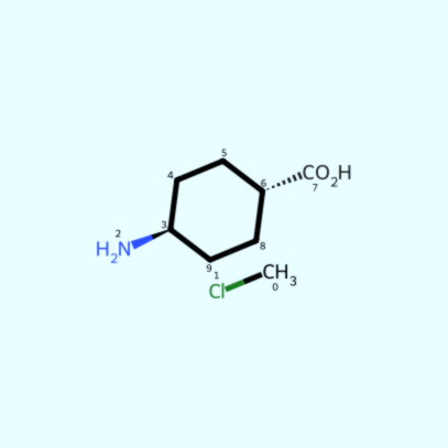 CCl.N[C@H]1CC[C@H](C(=O)O)CC1